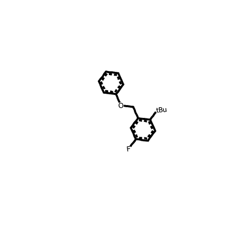 CC(C)(C)c1ccc(F)cc1COc1ccccc1